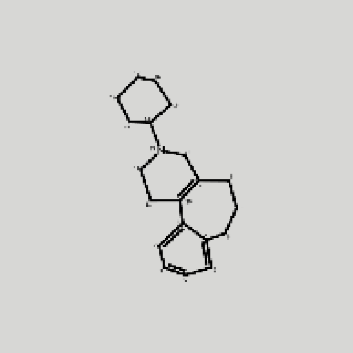 c1ccc2c(c1)CCCC1=C2CCN(C2CCCCC2)C1